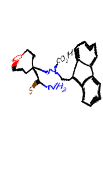 NC(=S)C1(N(CC2c3ccccc3-c3ccccc32)C(=O)O)CCOCC1